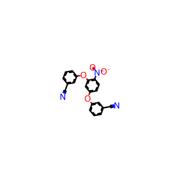 N#Cc1cccc(Oc2ccc([N+](=O)[O-])c(Oc3cccc(C#N)c3)c2)c1